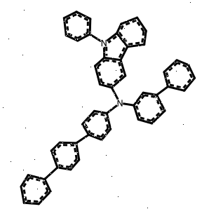 c1ccc(-c2ccc(-c3ccc(N(c4cccc(-c5ccccc5)c4)c4ccc5c(c4)c4ccccc4n5-c4ccccc4)cc3)cc2)cc1